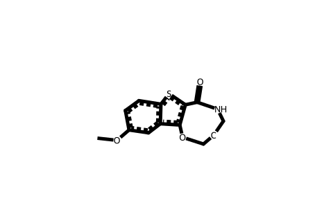 COc1ccc2sc3c(c2c1)OCCCNC3=O